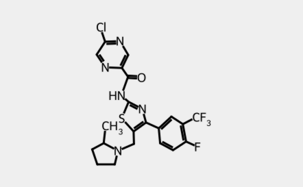 CC1CCCN1Cc1sc(NC(=O)c2cnc(Cl)cn2)nc1-c1ccc(F)c(C(F)(F)F)c1